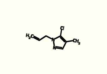 C=CCn1ncc(C)c1Cl